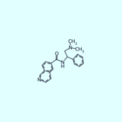 CN(C)CC(NC(=O)c1ccc2cnccc2c1)c1ccccc1